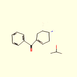 CCC(CC)O[C@@H]1C=C(C(=O)c2ccccc2)C[C@H](NC(C)=O)[C@H]1N